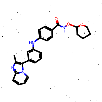 Cc1nc2ccccn2c1-c1cccc(Nc2ccc(C(=O)NOC3CCCCO3)cc2)c1